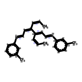 C\C=C/C(=C/C=N/c1cccc(C(F)(F)F)c1)C(/C=C\C)=C/C=N/c1cccc(C(F)(F)F)c1